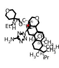 CCNC1(CO[C@H]2[C@H](n3nnc(N)n3)C[C@@]34COC[C@@]2(C)[C@@H]3CC[C@H]2C4=CC[C@@]3(C)[C@H](C(=O)O)[C@@](C)([C@H](C)C(C)C)CC[C@]23C)CCOCC1